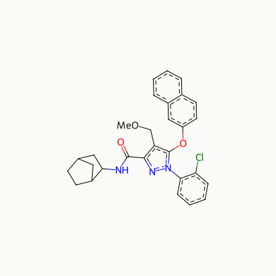 COCc1c(C(=O)NC2CC3CCC2C3)nn(-c2ccccc2Cl)c1Oc1ccc2ccccc2c1